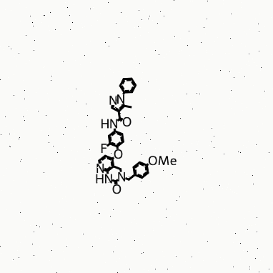 COc1ccc(CN2Cc3c(Oc4ccc(NC(=O)c5cnn(-c6ccccc6)c5C)cc4F)ccnc3NC2=O)cc1